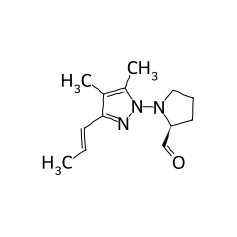 C/C=C/c1nn(N2CCC[C@H]2C=O)c(C)c1C